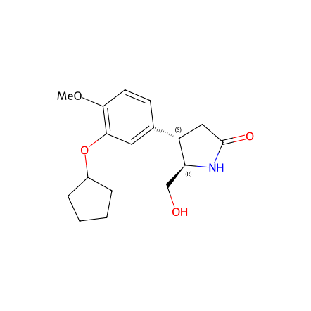 COc1ccc([C@@H]2CC(=O)N[C@H]2CO)cc1OC1CCCC1